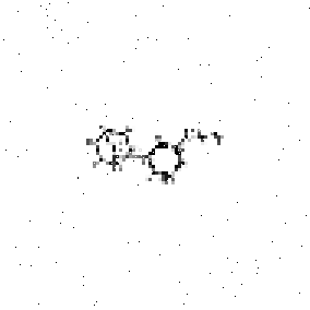 CC(C)Oc1cncc(C2CC3CCN2CC3)c1